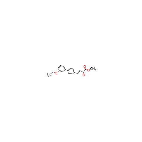 CCOc1cccc(-c2ccc(/C=C/C(=O)C(=O)OC)cc2)c1